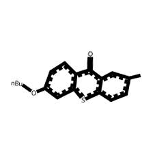 CCCCOc1ccc2c(=O)c3cc(C)ccc3sc2c1